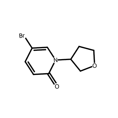 O=c1ccc(Br)cn1C1CCOC1